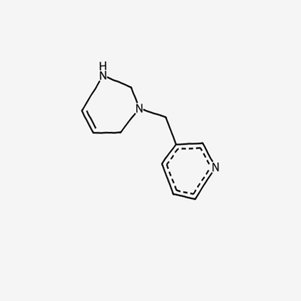 C1=CNCN(Cc2cccnc2)C1